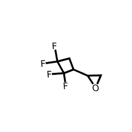 FC1(F)CC(C2CO2)C1(F)F